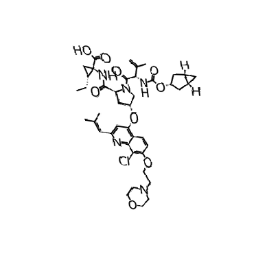 C=C(C)[C@H](NC(=O)O[C@@H]1C[C@@H]2C[C@@H]2C1)C(=O)N1C[C@H](Oc2cc(C=C(C)C)nc3c(Cl)c(OCCN4CCOCC4)ccc23)C[C@H]1C(=O)N[C@]1(C(=O)O)C[C@H]1CC